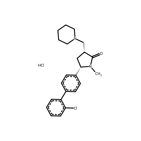 CN1C(=O)[C@@H](CN2CCCCC2)C[C@H]1c1ccc(-c2ccccc2Cl)cc1.Cl